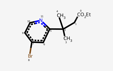 CCOC(=O)CC(C)(C)c1cc(Br)ccn1